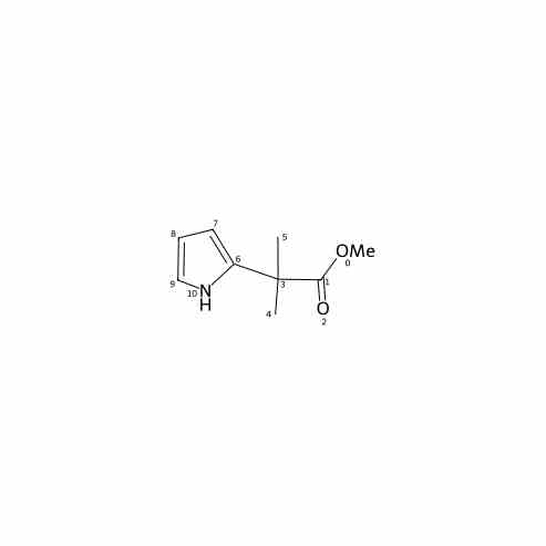 COC(=O)C(C)(C)c1ccc[nH]1